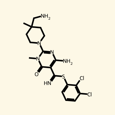 Cn1c(N2CCC(C)(CN)CC2)nc(N)c(C(=N)Sc2cccc(Cl)c2Cl)c1=O